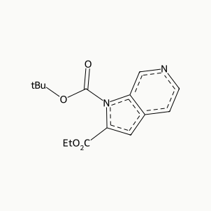 CCOC(=O)c1cc2ccncc2n1C(=O)OC(C)(C)C